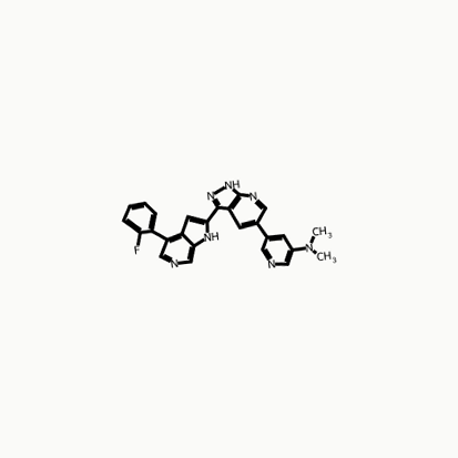 CN(C)c1cncc(-c2cnc3[nH]nc(-c4cc5c(-c6ccccc6F)cncc5[nH]4)c3c2)c1